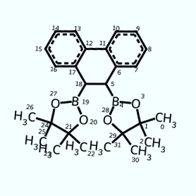 CC1(C)OB(C2c3ccccc3-c3ccccc3C2B2OC(C)(C)C(C)(C)O2)OC1(C)C